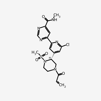 C=CC(=O)N1CCN(S(C)(=O)=O)[C@H](c2cc(Cl)nc(-c3cc(C(=O)NC)ncn3)c2)C1